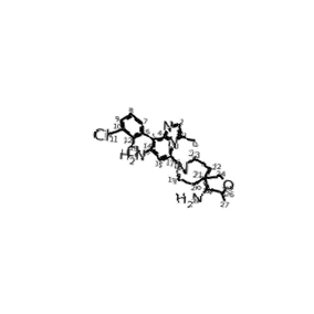 Cc1cnc2c(-c3cccc(Cl)c3Cl)c(N)cc(N3CCC4(CC3)COC(C)[C@H]4N)n12